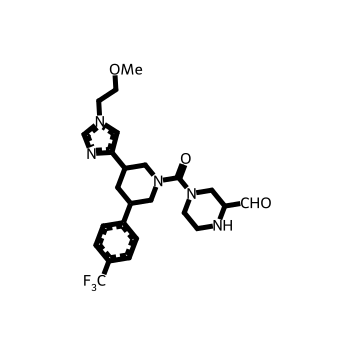 COCCn1cnc(C2CC(c3ccc(C(F)(F)F)cc3)CN(C(=O)N3CCNC(C=O)C3)C2)c1